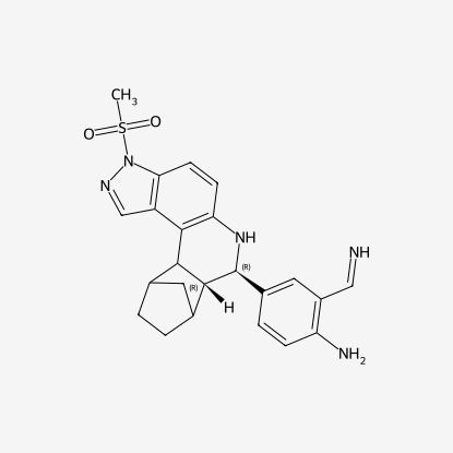 CS(=O)(=O)n1ncc2c3c(ccc21)N[C@@H](c1ccc(N)c(C=N)c1)[C@@H]1C2CCC(C2)C31